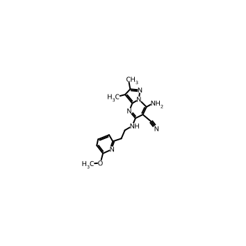 COc1cccc(CCNc2nc3c(C)c(C)nn3c(N)c2C#N)n1